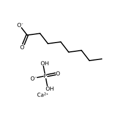 CCCCCCCC(=O)[O-].O=P([O-])(O)O.[Ca+2]